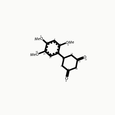 COc1cc(OC)c(C2CC(=O)CC(=O)C2)cc1OC